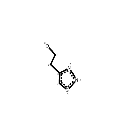 [O]CCc1csnn1